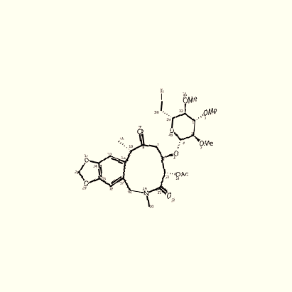 CO[C@@H]1[C@@H](OC)[C@H](O[C@@H]2CC(=O)[C@@H](C)c3cc4c(cc3CN(C)C(=O)[C@H]2OC(C)=O)OCO4)O[C@H](CI)[C@H]1OC